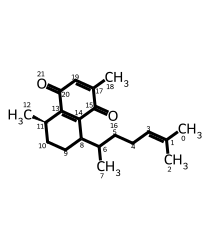 CC(C)=CCCC(C)C1CC[C@@H](C)C2=C1C(=O)C(C)=CC2=O